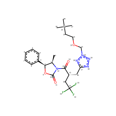 C[C@@H]1[C@H](c2ccccc2)OC(=O)N1C(=O)[C@H](Cc1nnn(COCC[Si](C)(C)C)n1)CC(F)(F)F